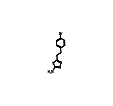 Nc1nnc(CCc2ccc(Br)cc2)s1